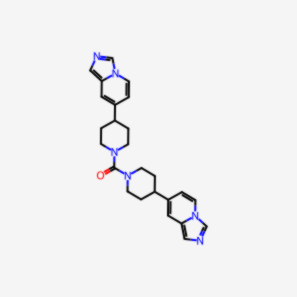 O=C(N1CCC(c2ccn3cncc3c2)CC1)N1CCC(c2ccn3cncc3c2)CC1